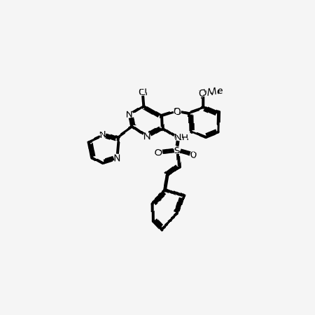 COc1ccccc1Oc1c(Cl)nc(-c2ncccn2)nc1NS(=O)(=O)C=Cc1ccccc1